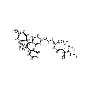 CC/C(=C(/c1ccc(OCCN(C/C=C/C(=O)N(C)C)C(=O)O)cc1)c1ccc(O)cc1OC)c1ccccc1